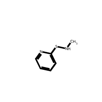 CNSc1ccccn1